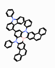 c1ccc(N2c3cc4c(ccc5ccccc54)cc3B3c4cc5ccc6ccccc6c5cc4N(c4ccccc4)c4cc(-c5cccc6c5c5ccccc5n6-c5ccccc5)cc2c43)cc1